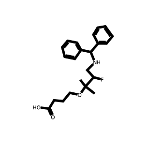 CC(C)(OCCCC(=O)O)C(F)CNC(c1ccccc1)c1ccccc1